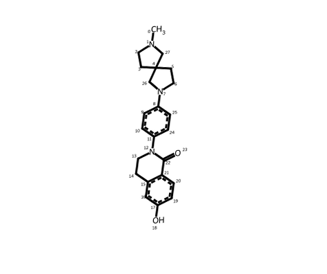 CN1CCC2(CCN(c3ccc(N4CCc5cc(O)ccc5C4=O)cc3)C2)C1